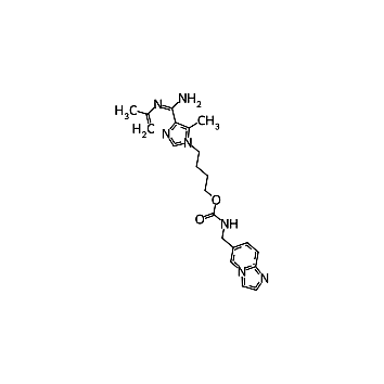 C=C(C)/N=C(/N)c1ncn(CCCCOC(=O)NCc2ccc3nccn3c2)c1C